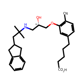 CC(C)(CC1Cc2ccccc2C1)NC[C@H](O)COc1cc(CCCCC(=O)O)ccc1C#N